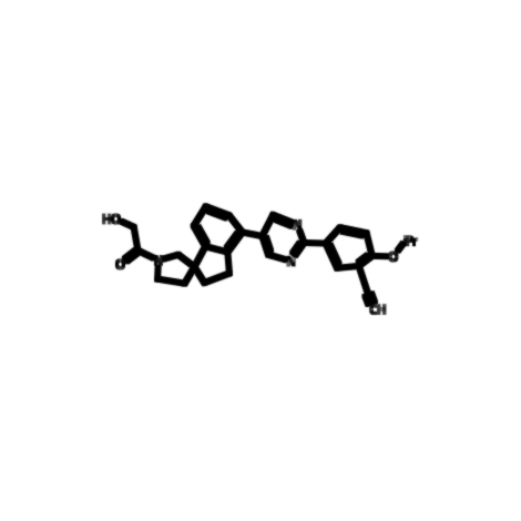 C#Cc1cc(-c2ncc(-c3cccc4c3CCC43CCN(C(=O)CO)C3)cn2)ccc1OC(C)C